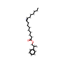 CCCCCC/C=C\CCCCCCCC(=O)OCC(C)c1ccccc1